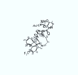 COc1ccnc(C(=O)N[C@H]2CCC[C@H](Cc3ccc(C(F)(F)F)cc3)[C@@H](Cc3ccccc3)[C@H](C)OC2=O)c1OCOC(C)=O